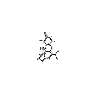 Cc1cc(Cc2c(C(C)C)nc3ccnn3c2O)ccc1F